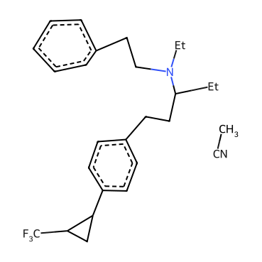 CC#N.CCC(CCc1ccc(C2CC2C(F)(F)F)cc1)N(CC)CCc1ccccc1